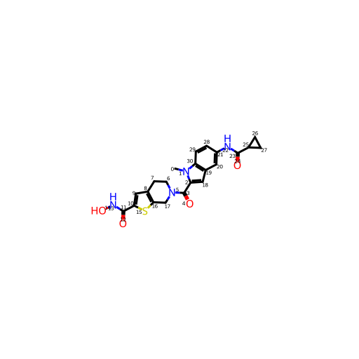 Cn1c(C(=O)N2CCc3cc(C(=O)NO)sc3C2)cc2cc(NC(=O)C3CC3)ccc21